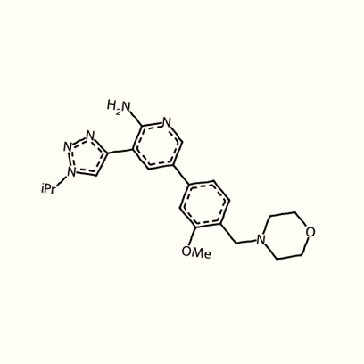 COc1cc(-c2cnc(N)c(-c3cn(C(C)C)nn3)c2)ccc1CN1CCOCC1